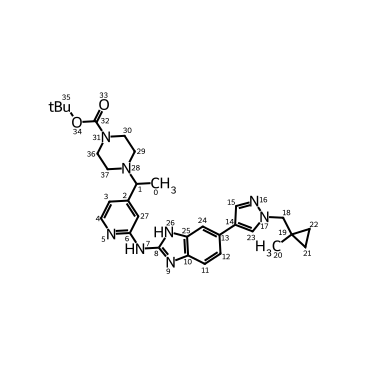 CC(c1ccnc(Nc2nc3ccc(-c4cnn(CC5(C)CC5)c4)cc3[nH]2)c1)N1CCN(C(=O)OC(C)(C)C)CC1